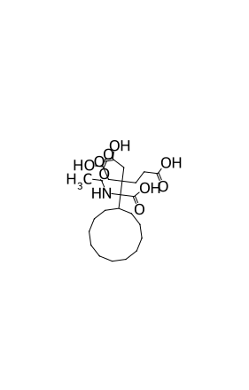 CC(=O)NC(C(=O)O)(C1CCCCCCCCCCC1)C(CCC(=O)O)(CC(=O)O)CC(=O)O